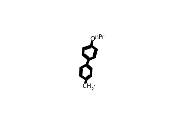 [CH2]c1ccc(-c2ccc(OCCC)cc2)cc1